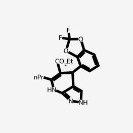 CCCC1=C(C(=O)OCC)C(c2cccc3c2OC(F)(F)O3)c2c[nH]nc2N1